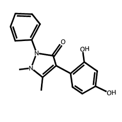 Cc1c(-c2ccc(O)cc2O)c(=O)n(-c2ccccc2)n1C